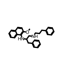 COc1ccc2ccccc2c1NC(CNCCCc1ccccc1)Cc1ccccc1